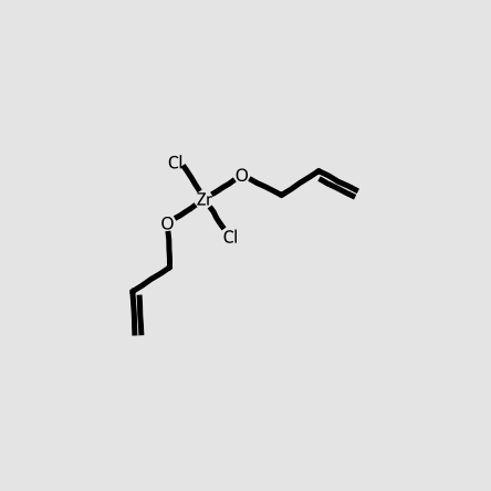 C=CC[O][Zr]([Cl])([Cl])[O]CC=C